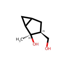 C[C@]1(O)C2CC2C[C@H]1CO